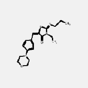 CCC/N=C1/O/C(=C/c2ccc(N3CCOCC3)cc2)C(=O)N1CC